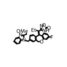 CC/C(=C1\c2ccc(Cn3c(COC)nc4ccccc43)cc2COc2cc(F)ccc21)c1noc(=O)[nH]1